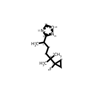 CC(CCC(C)(C)C1(F)CC1)c1ncon1